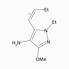 CC/C=C\c1c(N)c(OC)nn1CC